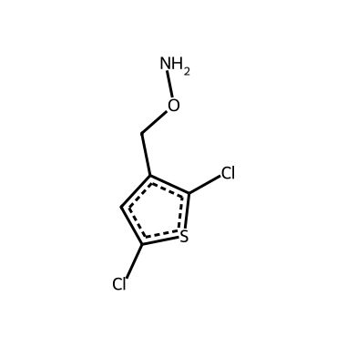 NOCc1cc(Cl)sc1Cl